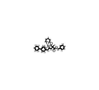 CC(COC1CCCCO1)(C[C@H](N)Cc1ccc(-c2ccccc2)cc1)C(=O)OCc1ccccc1